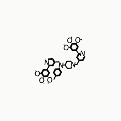 COc1cc(-c2cc(CN3CCC(N(Cc4ccnc(-c5cc(OC)c(OC)c(OC)c5)c4)c4ccc(C)cc4)CC3)ccn2)cc(OC)c1OC